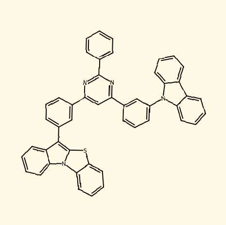 c1ccc(-c2nc(-c3cccc(-c4c5ccccc5n5c4sc4ccccc45)c3)cc(-c3cccc(-n4c5ccccc5c5ccccc54)c3)n2)cc1